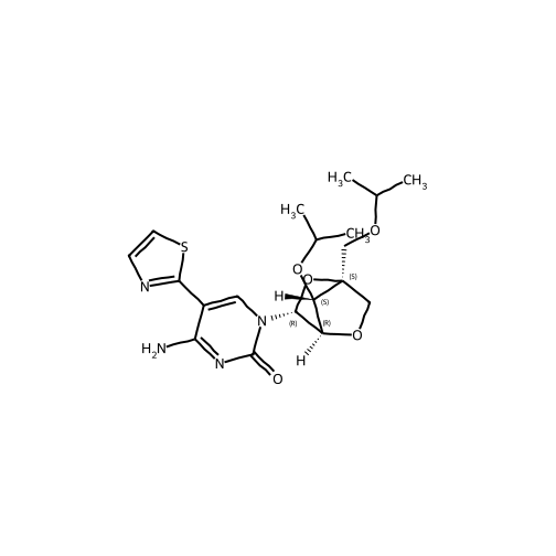 CC(C)OC[C@@]12CO[C@@H]([C@H](n3cc(-c4nccs4)c(N)nc3=O)O1)[C@@H]2OC(C)C